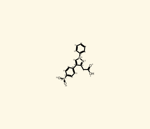 O=C(O)Cc1nn(-c2ccccc2)cc1-c1ccc([N+](=O)[O-])cc1